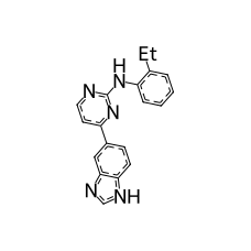 CCc1ccccc1Nc1nccc(-c2ccc3[nH]cnc3c2)n1